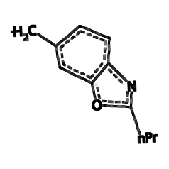 [CH2]c1ccc2nc(CCC)oc2c1